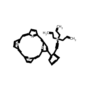 C=CC[Si](C#Cc1ccccc1C1=CC2=CC3=NC(=CC4=NC(=CC5=NC(=CC1=N2)C=C5)C=C4)C=C3)(CC=C)CC=C